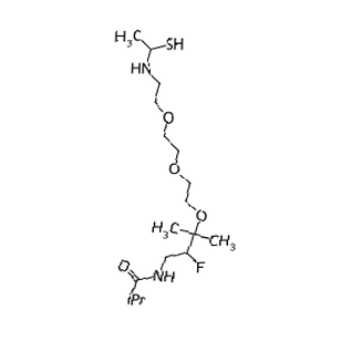 CC(S)NCCOCCOCCOC(C)(C)C(F)CNC(=O)C(C)C